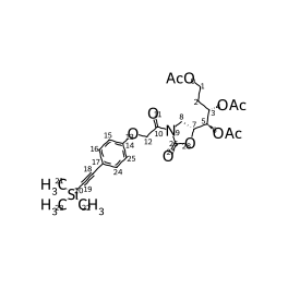 CC(=O)OCC[C@H](OC(C)=O)[C@@H](OC(C)=O)[C@H]1CN(C(=O)COc2ccc(C#C[Si](C)(C)C)cc2)C(=O)O1